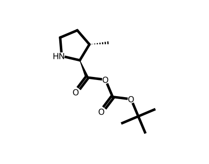 C[C@H]1CCN[C@@H]1C(=O)OC(=O)OC(C)(C)C